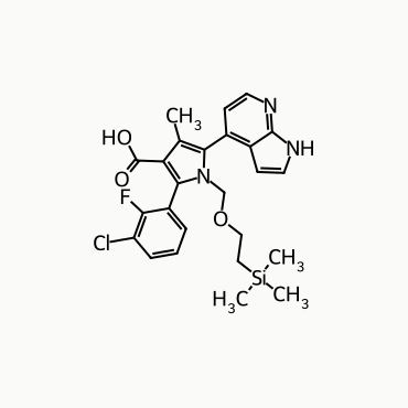 Cc1c(C(=O)O)c(-c2cccc(Cl)c2F)n(COCC[Si](C)(C)C)c1-c1ccnc2[nH]ccc12